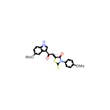 COc1ccc(N2C(=O)/C(=C/C(=O)c3c[nH]c4ccc(OC)cc34)SC2=S)cc1